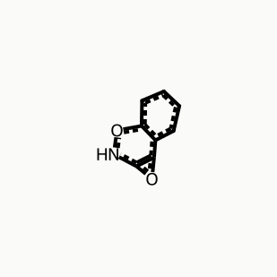 c1ccc2c3oc=3[nH]oc2c1